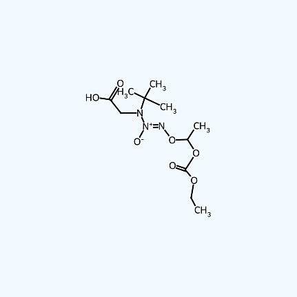 CCOC(=O)OC(C)ON=[N+]([O-])N(CC(=O)O)C(C)(C)C